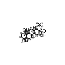 CC1(C)CC[C@]2(C(=O)O)CC[C@]3(C)C(=CC[C@@H]4[C@@]5(C)C(O)CCC(C)(C)[C@@H]5CC[C@]43C)[C@@H]2C1